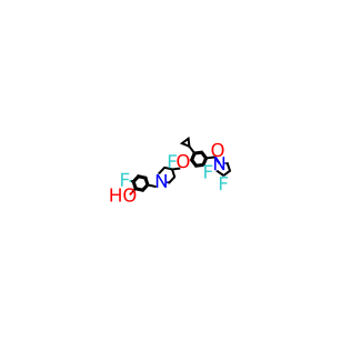 O=C(c1cc(C2CC2)c(OCC2(F)CCN(Cc3ccc(F)c(O)c3)CC2)cc1F)N1CCC(F)C1